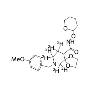 [2H]C1([2H])C(C(=O)NOC2CCCCO2)C2(OCCO2)C([2H])([2H])N(Cc2ccc(OC)cc2)C1([2H])[2H]